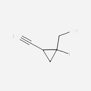 C#CC1CC1(F)CO